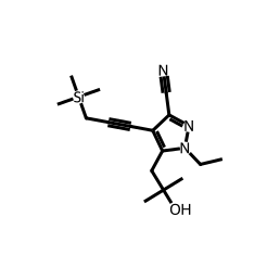 CCn1nc(C#N)c(C#CC[Si](C)(C)C)c1CC(C)(C)O